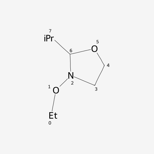 CCON1CCOC1C(C)C